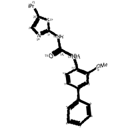 COc1cc(-c2ccccc2)ccc1NC(=O)Nc1ncc(C(C)C)s1